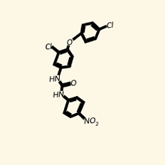 O=C(Nc1ccc([N+](=O)[O-])cc1)Nc1ccc(Oc2ccc(Cl)cc2)c(Cl)c1